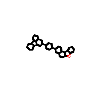 c1ccc2c(c1)-c1cccc3cc(-c4ccc(-c5ccc6c(ccc7oc8ccccc8c76)c5)cc4)cc-2c13